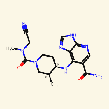 C[C@H]1CN(C(=O)N(C)CC#N)CC[C@H]1Nc1c(C(N)=O)cnc2[nH]cnc12